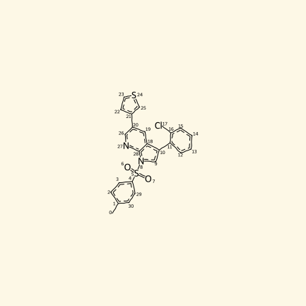 Cc1ccc(S(=O)(=O)n2cc(-c3ccccc3Cl)c3cc(-c4ccsc4)cnc32)cc1